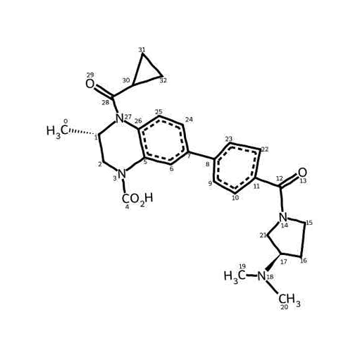 C[C@H]1CN(C(=O)O)c2cc(-c3ccc(C(=O)N4CC[C@@H](N(C)C)C4)cc3)ccc2N1C(=O)C1CC1